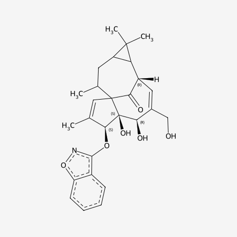 CC1=CC23C(=O)[C@@H](C=C(CO)[C@@H](O)[C@]2(O)[C@H]1Oc1noc2ccccc12)C1C(CC3C)C1(C)C